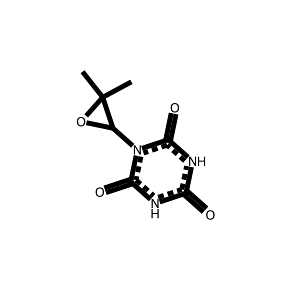 CC1(C)OC1n1c(=O)[nH]c(=O)[nH]c1=O